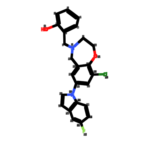 Oc1ccccc1CN1CCOc2c(Cl)cc(-n3ccc4cc(F)ccc43)cc2C1